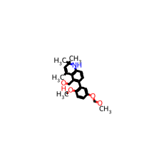 COCOc1ccc(OC)c(-c2ccc3c(c2CO)C(C)=CC(C)(C)N3)c1